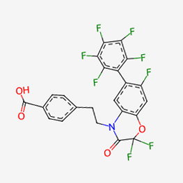 O=C(O)c1ccc(CCN2C(=O)C(F)(F)Oc3cc(F)c(-c4c(F)c(F)c(F)c(F)c4F)cc32)cc1